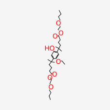 CCCCOCCOC(=O)CCCC(C)(C)c1cc(OCC)c(C(C)(C)CCCC(=O)OCCOCCCC)cc1O